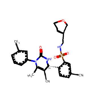 CC1=C(C#N)[C@@H](c2ccc(C#N)cc2S(=O)(=O)NCC2CCOC2)NC(=O)N1c1cccc(C(F)(F)F)c1